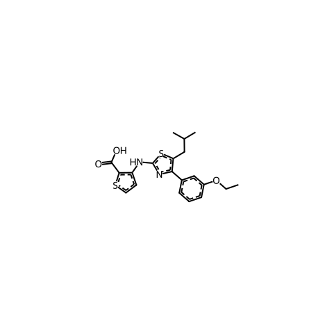 CCOc1cccc(-c2nc(Nc3ccsc3C(=O)O)sc2CC(C)C)c1